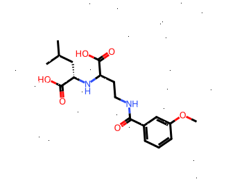 COc1cccc(C(=O)NCCC(N[C@@H](CC(C)C)C(=O)O)C(=O)O)c1